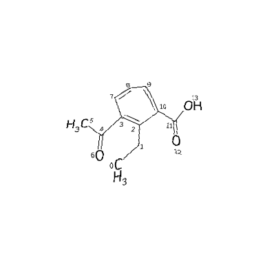 CCc1c(C(C)=O)cccc1C(=O)O